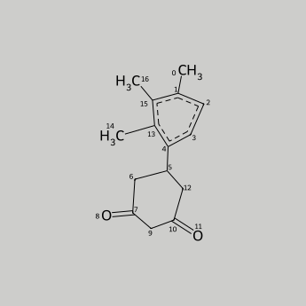 Cc1ccc(C2CC(=O)CC(=O)C2)c(C)c1C